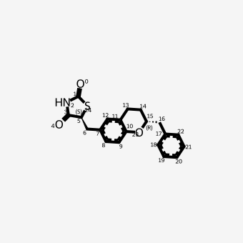 O=C1NC(=O)[C@H](Cc2ccc3c(c2)CC[C@H](Cc2ccccc2)O3)S1